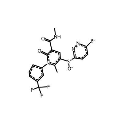 CNC(=O)c1cc([S+]([O-])c2ccc(Br)nn2)c(C)n(-c2cccc(C(F)(F)F)c2)c1=O